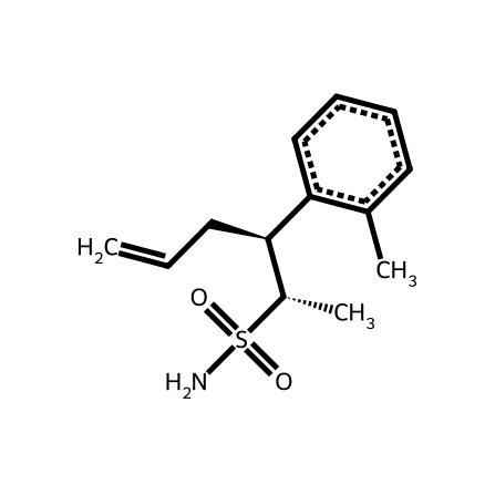 C=CC[C@@H](c1ccccc1C)[C@H](C)S(N)(=O)=O